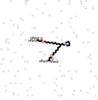 CCCCCC(CCCCC)CC(=O)OCCCCCCCCCC(CCCCCCCOC(=O)CC(CCCCC)CCCCC)CCN1CCCCC1